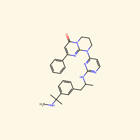 BNC(C)(C)c1cccc(CC(C)Nc2nccc(N3CCCn4c3nc(-c3ccccc3)cc4=O)n2)c1